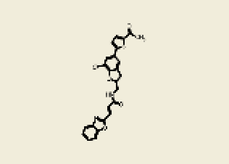 CC(=O)c1ccc(-c2cc(Cl)c3c(c2)CC(CNC(=O)C=Cc2nc4ccccc4o2)O3)s1